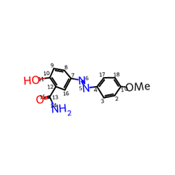 COc1ccc(N=Nc2ccc(O)c(C(N)=O)c2)cc1